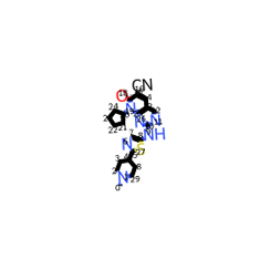 CN1CCC(c2ncc(Nc3ncc4cc(C#N)c(=O)n(C5CCCC5)c4n3)s2)CC1